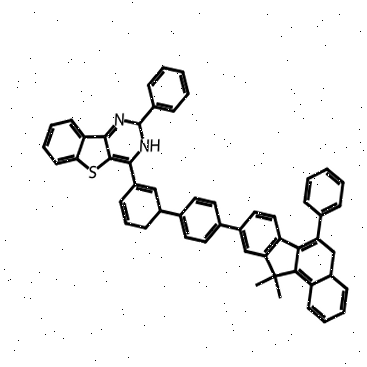 CC1(C)C2=C3C=CC=CC3CC(c3ccccc3)=C2c2ccc(-c3ccc(C4C=C(C5=c6sc7ccccc7c6=NC(c6ccccc6)N5)C=CC4)cc3)cc21